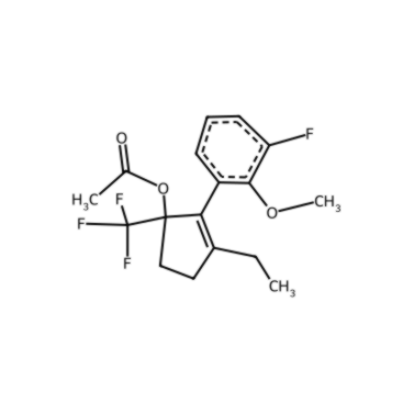 CCC1=C(c2cccc(F)c2OC)C(OC(C)=O)(C(F)(F)F)CC1